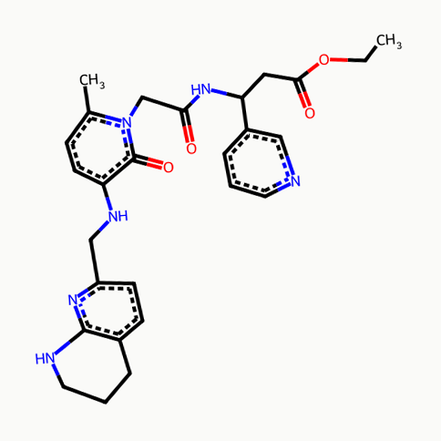 CCOC(=O)CC(NC(=O)Cn1c(C)ccc(NCc2ccc3c(n2)NCCC3)c1=O)c1cccnc1